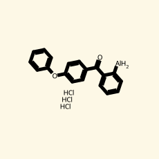 Cl.Cl.Cl.O=C(c1ccc(Oc2ccccc2)cc1)c1cccc[c]1[AlH2]